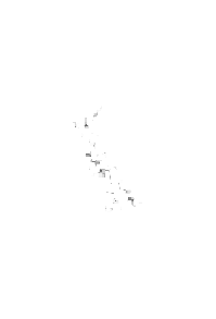 C=C1C(=CC=C2CCC[C@]3(C)[C@@H]([C@@H](C)SCCC(O)(CCC)CCC)CC[C@@H]23)C[C@@H](O)C[C@@H]1O